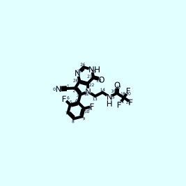 N#Cc1c(-c2c(F)cccc2F)n(CCNC(=O)C(F)(F)F)c2c(=O)[nH]cnc12